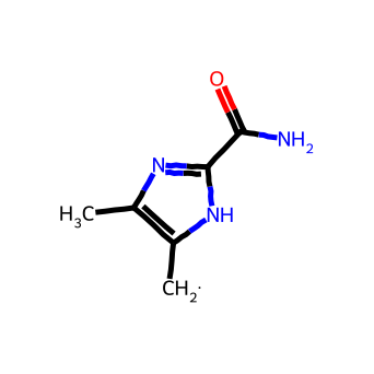 [CH2]c1[nH]c(C(N)=O)nc1C